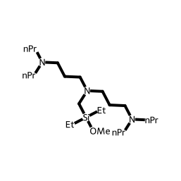 CCCN(CCC)CCCN(CCCN(CCC)CCC)C[Si](CC)(CC)OC